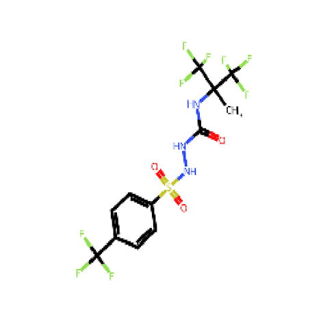 CC(NC(=O)NNS(=O)(=O)c1ccc(C(F)(F)F)cc1)(C(F)(F)F)C(F)(F)F